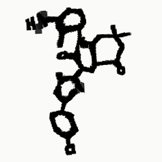 Cc1c(N)cccc1-n1c2c(cc(-c3nc(-c4ccc(Cl)cc4)cs3)c1=O)C(=O)CC(C)(C)C2